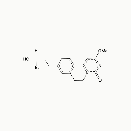 CCC(O)(CC)CCc1ccc2c(c1)CCn1c-2cc(OC)nc1=O